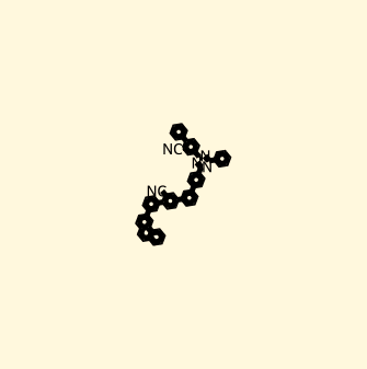 N#Cc1cc(-c2cccc(-c3ccc(-c4nc(-c5ccccc5)nc(-c5ccc(-c6ccccc6)c(C#N)c5)n4)cc3)c2)ccc1-c1cccc(-c2ccc3ccc4ccccc4c3c2)c1